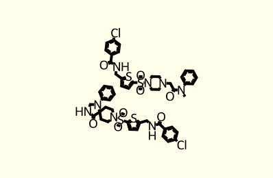 CN(C(=O)CN1CCN(S(=O)(=O)c2ccc(CNC(=O)c3ccc(Cl)cc3)s2)CC1)c1ccccc1.O=C(NCc1ccc(S(=O)(=O)N2CCC3(CC2)C(=O)NCN3c2ccccc2)s1)c1ccc(Cl)cc1